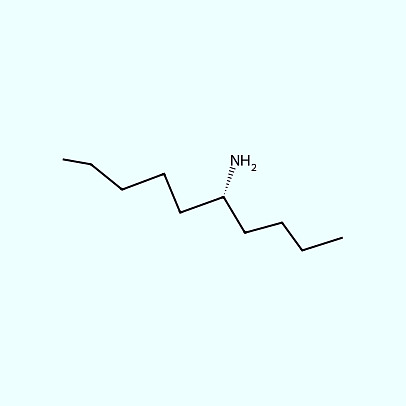 CCCCC[C@H](N)CCCC